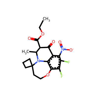 CCOC(=O)C1C(=O)c2c3c(c(F)c(F)c2[N+](=O)[O-])OCCC2(CCC2)N3C1C